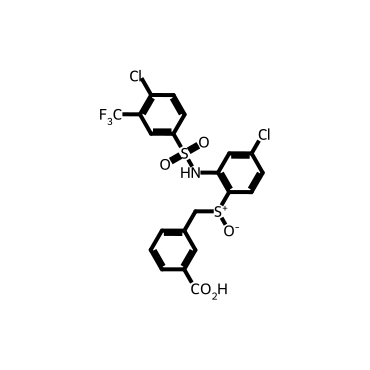 O=C(O)c1cccc(C[S+]([O-])c2ccc(Cl)cc2NS(=O)(=O)c2ccc(Cl)c(C(F)(F)F)c2)c1